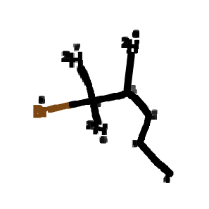 [2H]C(CCC)C([2H])([2H])Br